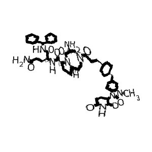 Cn1c(=O)n(C2CCC(=O)NC2=O)c2ccc(C[C@H]3CC[C@H](CCC(=O)N4CC[C@H]5CC[C@@H](C(=O)N[C@@H](CCC(N)=O)C(=O)NC(c6ccccc6)c6ccccc6)N5C(=O)[C@@H](N)C4)CC3)cc21